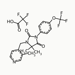 Cc1cnccc1CN1C(=O)N(c2ccc(OC(F)(F)F)cc2)C(=O)C1(C)C.O=C(O)C(F)(F)F